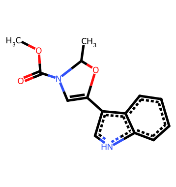 COC(=O)N1C=C(c2c[nH]c3ccccc23)OC1C